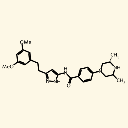 COc1cc(CCc2cc(NC(=O)c3ccc(N4CC(C)N[C@@H](C)C4)cc3)[nH]n2)cc(OC)c1